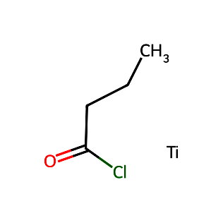 CCCC(=O)Cl.[Ti]